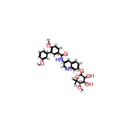 COc1cccc(-c2cc(C(=O)Nc3cnc4cc(OC5OC(C)(C)[C@H](OC)C(O)C5O)ccc4c3)ccc2OC)c1